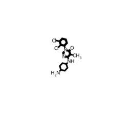 Cc1c(NC2CCC(N)CC2)ncn(-c2cccc(Cl)c2Cl)c1=O